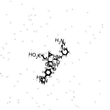 NN=CN1CCC[C@@H](CNC(=O)C[C@H](NS(=O)(=O)c2ccc(-c3nnn[nH]3)cc2)C(=O)N(CCC(=O)O)C2CC2)C1